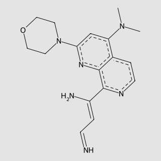 CN(C)c1cc(N2CCOCC2)nc2c(/C(N)=C/C=N)nccc12